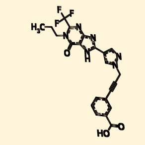 CCCn1c(C(F)(F)F)nc2nc(-c3cnn(CC#Cc4cccc(C(=O)O)c4)c3)[nH]c2c1=O